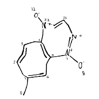 Cc1ccc2c(c1)[n+]([O-])nc[n+]2[O-]